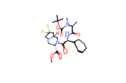 COC(=O)[C@@H]1CN2CC(F)(F)C[C@@H]2CN1C(=O)[C@@H](NC(=O)[C@H](C)N(C)C(=O)OC(C)(C)C)C1CCCCC1